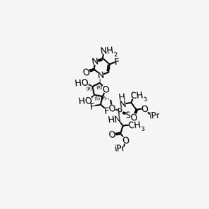 CC(C)OC(=O)C(C)NP(=S)(NC(C)C(=O)OC(C)C)OC[C@@]1(C(F)F)O[C@@H](n2cc(F)c(N)nc2=O)[C@H](O)[C@@H]1O